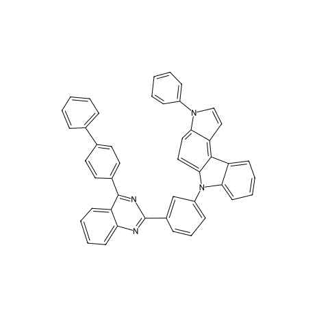 c1ccc(-c2ccc(-c3nc(-c4cccc(-n5c6ccccc6c6c7ccn(-c8ccccc8)c7ccc65)c4)nc4ccccc34)cc2)cc1